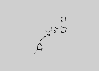 CC(NC#CCc1csc(C(F)(F)F)c1)c1ccc(-c2ccccc2CN2CCC2)o1